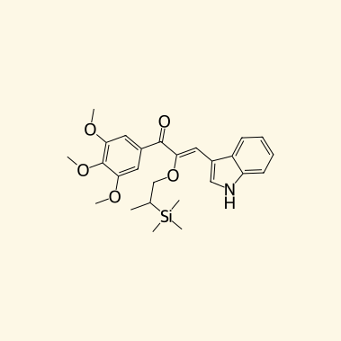 COc1cc(C(=O)C(=Cc2c[nH]c3ccccc23)OCC(C)[Si](C)(C)C)cc(OC)c1OC